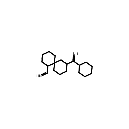 N=CC1CCCCC12CCCC(C(=N)C1CCCCC1)C2